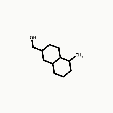 CC1CCCC2CC(CO)CCC12